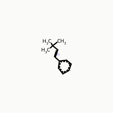 CC(C)(C)/C=C/c1cc[c]cc1